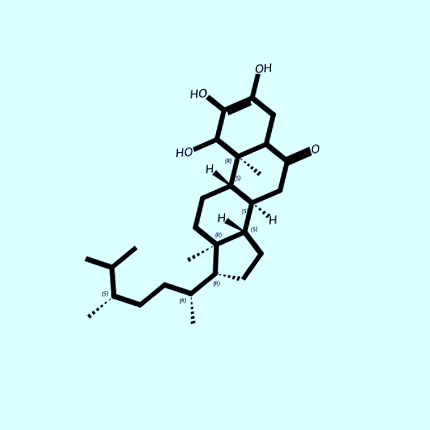 CC(C)[C@@H](C)CC[C@@H](C)[C@H]1CC[C@H]2[C@@H]3CC(=O)C4CC(O)=C(O)C(O)[C@]4(C)[C@H]3CC[C@]12C